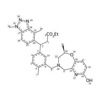 CCOC(=O)CC(c1ccc(C)c(CN2Cc3nc(O)ccc3O[C@H](C)C2)c1)c1ccc2c(nnn2C)c1C